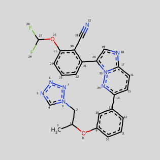 CC(Cn1cnnn1)Oc1cccc(-c2ccc3ncc(-c4cccc(OC(F)F)c4C#N)n3n2)c1